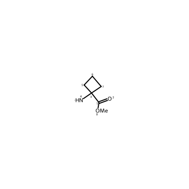 COC(=O)C1([NH])CCC1